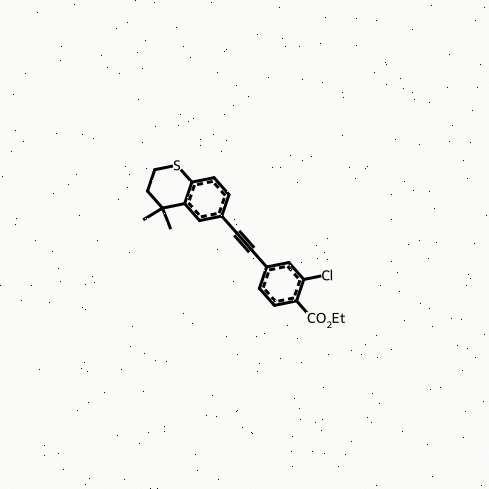 CCOC(=O)c1ccc(C#Cc2ccc3c(c2)C(C)(C)CCS3)cc1Cl